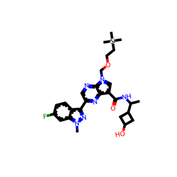 CC(NC(=O)c1cn(COCC[Si](C)(C)C)c2ncc(-c3nn(C)c4cc(F)ccc34)nc12)C1CC(O)C1